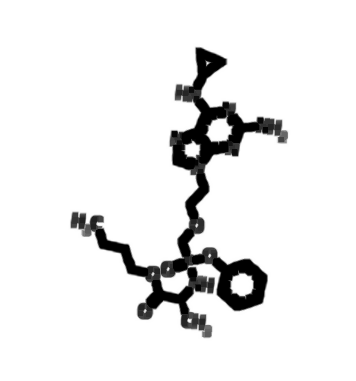 CCCCOC(=O)[C@H](C)NP(=O)(COCCn1cnc2c(NC3CC3)nc(N)nc21)Oc1ccccc1